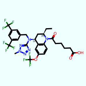 CC[C@@H]1C[C@H](N(Cc2cc(C(F)(F)F)cc(C(F)(F)F)c2)c2nnn(C)n2)c2cc(OC(F)(F)F)ccc2N1C(=O)CCCCC(=O)O